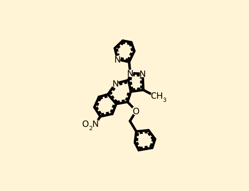 Cc1nn(-c2ccccn2)c2nc3ccc([N+](=O)[O-])cc3c(OCc3ccccc3)c12